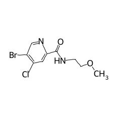 COCCNC(=O)c1cc(Cl)c(Br)cn1